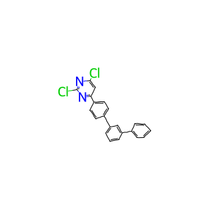 Clc1cc(-c2ccc(-c3cccc(-c4ccccc4)c3)cc2)nc(Cl)n1